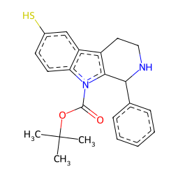 CC(C)(C)OC(=O)n1c2c(c3cc(S)ccc31)CCNC2c1ccccc1